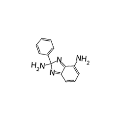 Nc1cccc2c1=NC(N)(c1ccccc1)N=2